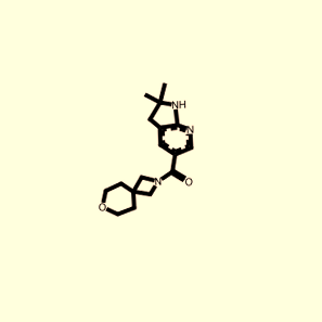 CC1(C)Cc2cc(C(=O)N3CC4(CCOCC4)C3)cnc2N1